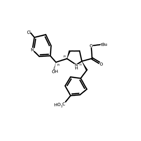 CC(C)(C)OC(=O)[C@@]1(Cc2ccc(C(=O)O)cc2)CC[C@H]([C@H](O)c2ccc(Cl)nc2)N1